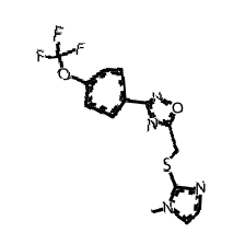 Cn1ccnc1SCc1nc(-c2ccc(OC(F)(F)F)cc2)no1